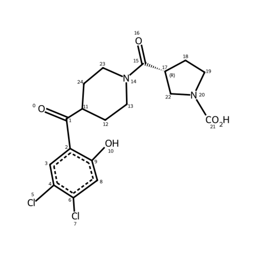 O=C(c1cc(Cl)c(Cl)cc1O)C1CCN(C(=O)[C@@H]2CCN(C(=O)O)C2)CC1